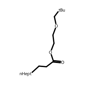 CCCCCCCCCC(=O)OCCOCC(C)(C)C